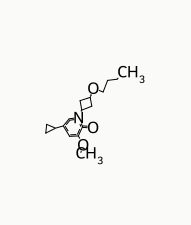 CCCCO[C@H]1C[C@@H](n2cc(C3CC3)cc(OC)c2=O)C1